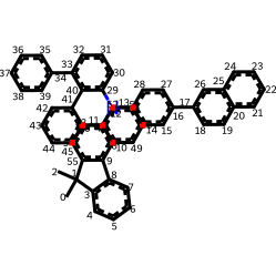 CC1(C)c2ccccc2-c2cc(N(c3ccc(-c4ccc5ccccc5c4)cc3)c3cccc(-c4ccccc4)c3-c3ccccc3-c3ccccc3)ccc21